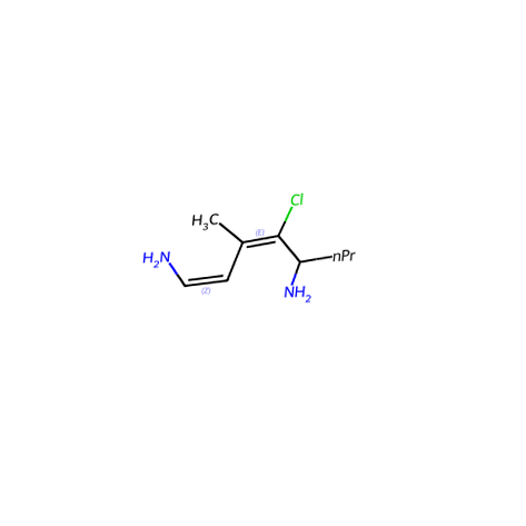 CCCC(N)/C(Cl)=C(C)\C=C/N